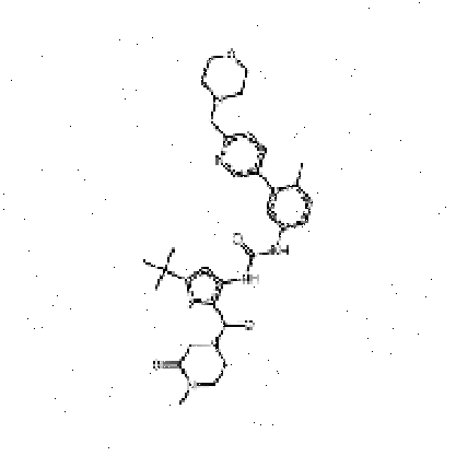 Cc1ccc(NC(=O)Nc2cc(C(C)(C)C)sc2C(=O)N2CCN(C)C(=O)C2)cc1-c1ccc(CN2CCOCC2)nc1